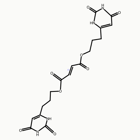 O=C(/C=C/C(=O)OCCCc1cc(=O)[nH]c(=O)[nH]1)OCCCc1cc(=O)[nH]c(=O)[nH]1